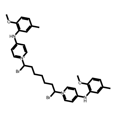 COc1ccc(C)cc1Nc1cc[n+](C(Br)CCCCCC(Br)[n+]2ccc(Nc3cc(C)ccc3OC)cc2)cc1